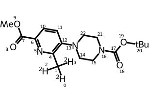 [2H]C([2H])([2H])c1nc(C(=O)OC)ccc1N1CCN(C(=O)OC(C)(C)C)CC1